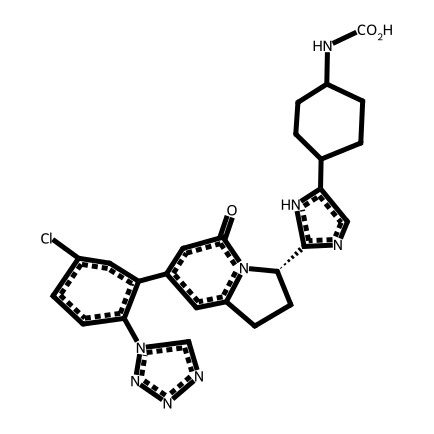 O=C(O)NC1CCC(c2cnc([C@@H]3CCc4cc(-c5cc(Cl)ccc5-n5cnnn5)cc(=O)n43)[nH]2)CC1